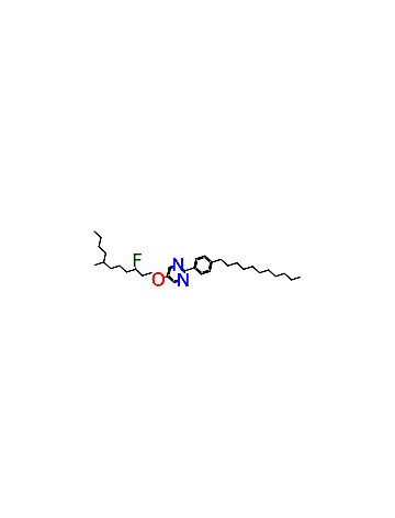 CCCCCCCCCCCc1ccc(-c2ncc(OCCC(F)CCCC(C)CCCC)cn2)cc1